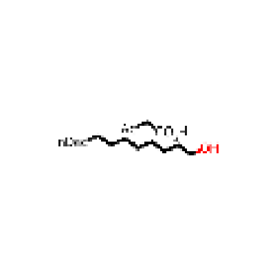 CC(=O)CC(=O)O.CCCCCCCCCCCCCCCCCCO